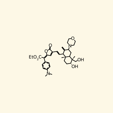 C=C1C(N2CCOCC2)CC2[C@](C)(CC[C@@H](O)[C@@]2(C)CO)C1/C=C/C1=CC(=C(/C(=O)OCC)c2ccc(N(C)C)cc2)/OC1=O